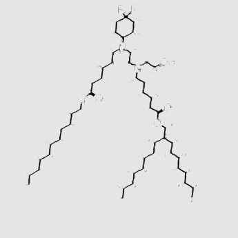 CCCCCCCCCCCOC(=O)CCCCCN(CCN(CCO)CCCCCC(=O)OCC(CCCCCCCC)CCCCCCCC)C1CCC(F)(F)CC1